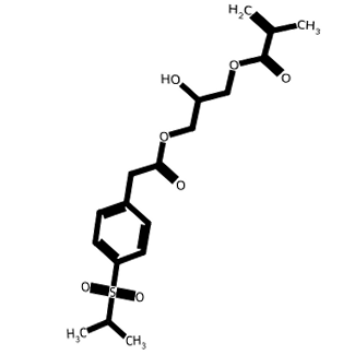 C=C(C)C(=O)OCC(O)COC(=O)Cc1ccc(S(=O)(=O)C(C)C)cc1